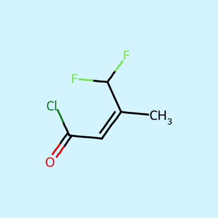 C/C(=C/C(=O)Cl)C(F)F